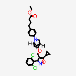 CCOC(=O)CCCc1ccc(N2C[C@@H]3C[C@H]2C[C@H]3OCc2c(-c3c(Cl)cccc3Cl)noc2C2CC2)cc1